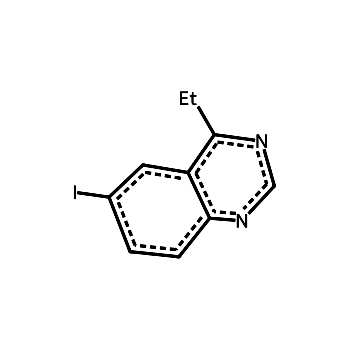 CCc1ncnc2ccc(I)cc12